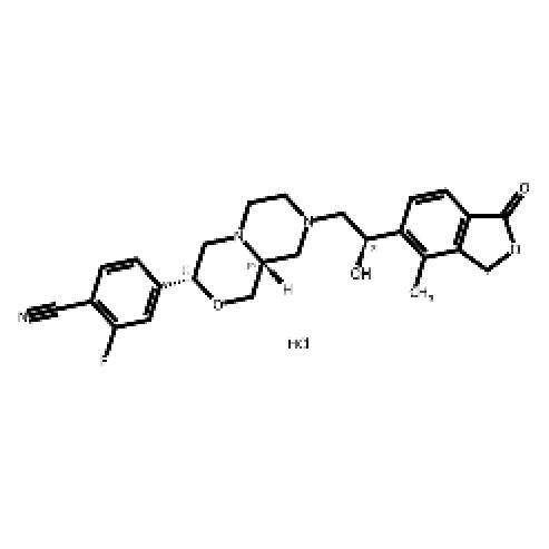 Cc1c([C@@H](O)CN2CCN3C[C@@H](c4ccc(C#N)c(F)c4)OC[C@H]3C2)ccc2c1COC2=O.Cl